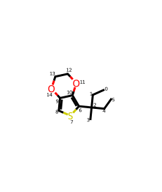 CCC(C)(CC)c1scc2c1OCCO2